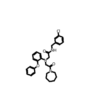 O=C(CN(CC(=O)N1CCCCCC1)c1ccccc1Oc1ccccc1)NCc1cccc(Cl)c1